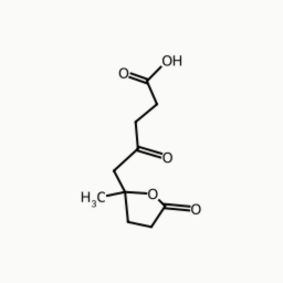 CC1(CC(=O)CCC(=O)O)CCC(=O)O1